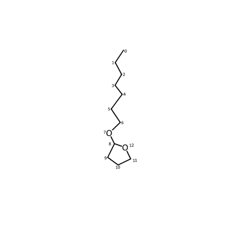 CCCCCCCOC1CCCO1